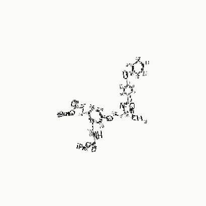 Cc1oc(-c2ccc(Oc3ccccc3)cc2)nc1CCOc1ccc(CCC(=O)OC(C)(C)C)c(CNC(=O)OC(C)C)c1